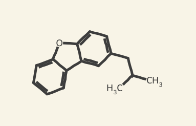 C[C](C)Cc1ccc2oc3ccccc3c2c1